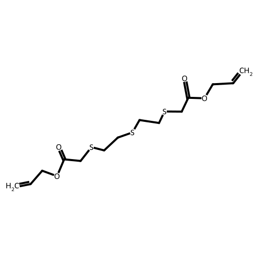 C=CCOC(=O)CSCCSCCSCC(=O)OCC=C